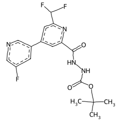 CC(C)(C)OC(=O)NNC(=O)c1cc(-c2cncc(F)c2)cc(C(F)F)n1